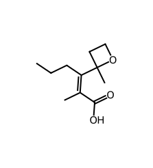 CCCC(=C(C)C(=O)O)C1(C)CCO1